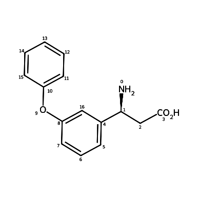 N[C@@H](CC(=O)O)c1cccc(Oc2ccccc2)c1